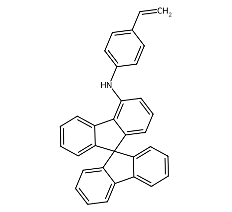 C=Cc1ccc(Nc2cccc3c2-c2ccccc2C32c3ccccc3-c3ccccc32)cc1